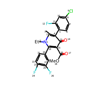 CCn1c(C)c(-c2ccc(Cl)cc2F)c(=O)c(C(=O)OC)c1-c1ccc(F)c(F)c1